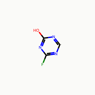 Oc1n[c]nc(F)n1